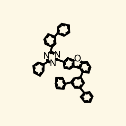 c1ccc(-c2cccc(-c3nc(-c4ccccc4)nc(-c4ccc5c(c4)oc4cccc(-c6cc(-c7ccccc7)cc(-c7ccccc7)c6)c45)n3)c2)cc1